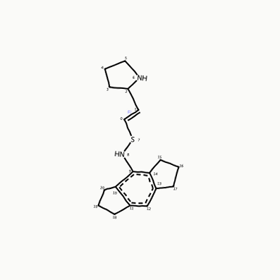 C(=C\C1CCCN1)/SNc1c2c(cc3c1CCC3)CCC2